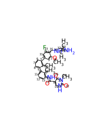 COc1cc(-c2cccc(-c3cccc(NC(=O)c4c[nH]c(=O)n(C)c4=O)c3C)c2C)cc(F)c1CNCC(C)(C)N